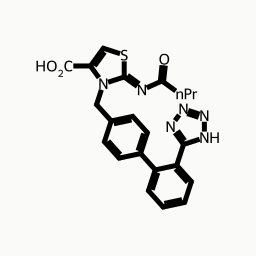 CCCC(=O)N=c1scc(C(=O)O)n1Cc1ccc(-c2ccccc2-c2nnn[nH]2)cc1